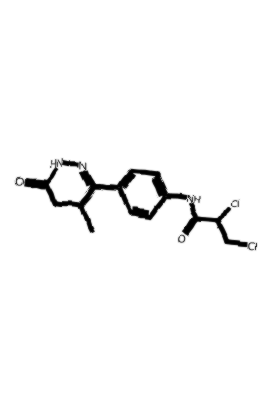 CC1CC(=O)NN=C1c1ccc(NC(=O)C(Cl)CCl)cc1